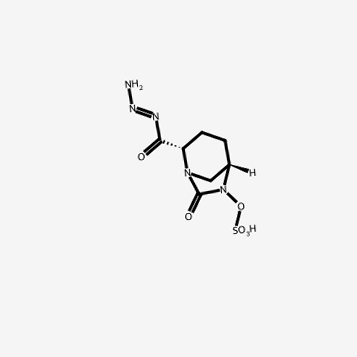 NN=NC(=O)[C@@H]1CC[C@H]2CN1C(=O)N2OS(=O)(=O)O